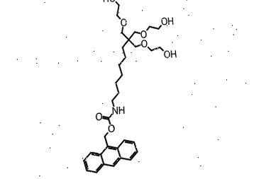 O=C(NCCCCCCCC(COCCO)(COCCO)COCCO)OCc1c2ccccc2cc2ccccc12